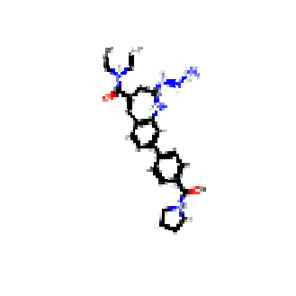 CC(C)CN(CC(C)C)C(=O)C1=Cc2ccc(-c3ccc(C(=O)N4CCCC4)cc3)cc2NC(N=NN)C1